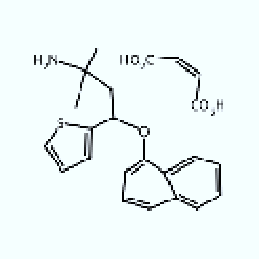 CC(C)(N)CC(Oc1cccc2ccccc12)c1cccs1.O=C(O)/C=C\C(=O)O